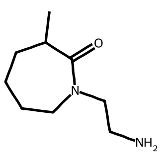 CC1CCCCN(CCN)C1=O